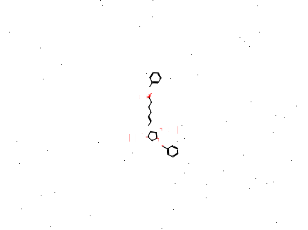 O=C(CCCC=CC[C@@H]1[C@@H](CO)[C@H](OCc2ccccc2)C[C@H]1O)OCc1ccccc1